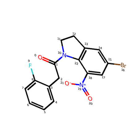 O=C(Cc1ccccc1F)N1CCc2cc(Br)cc([N+](=O)[O-])c21